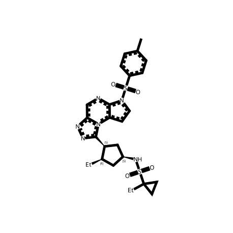 CC[C@@H]1C[C@H](NS(=O)(=O)C2(CC)CC2)C[C@@H]1c1nnc2cnc3c(ccn3S(=O)(=O)c3ccc(C)cc3)n12